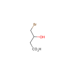 O=C(O)CC(O)CBr